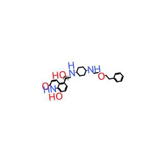 O=c1ccc2c([C@@H](O)CN[C@H]3CC[C@H](NCCOCCc4ccccc4)CC3)ccc(O)c2[nH]1